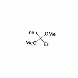 CCCCC(CC)(OC)OC